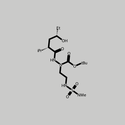 CC[C@H](O)C[C@H](C(=O)NN(CCNS(=O)(=O)NC)C(=O)OC(C)(C)C)C(C)C